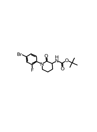 CC(C)(C)OC(=O)NC1CCCN(c2ccc(Br)cc2F)C1=O